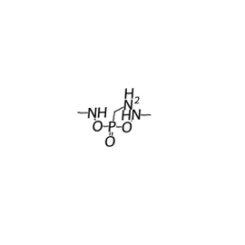 CNOP(=O)(CN)ONC